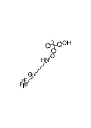 CC/C(=C(\c1ccc(O)cc1)c1ccc(OCCNCCCCCCCCC[S+]([O-])CCCC(F)(F)C(F)(F)F)cc1)c1ccccc1